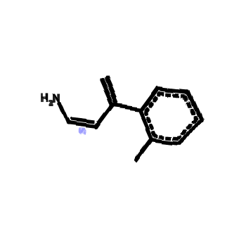 C=C(/C=C\N)c1ccccc1C